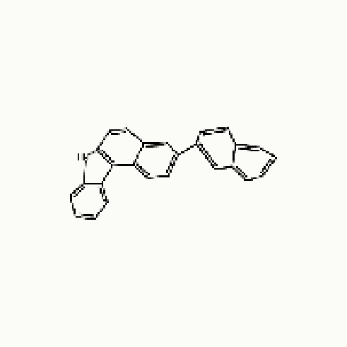 c1ccc2cc(-c3ccc4c(ccc5[nH]c6ccccc6c54)c3)ccc2c1